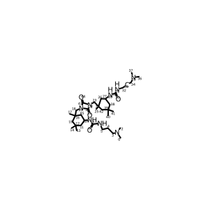 CN(C)CCCNC(=O)NC1CC(C)(C)CC(C)(CN2C(=O)N(CC3(C)CC(NC(=O)NCCCN(C)C)CC(C)(C)C3)C2=O)C1